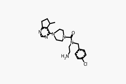 CC1CCc2ncnc(N3CCN(C(=O)N(CCN)Cc4ccc(Cl)cc4)CC3)c21